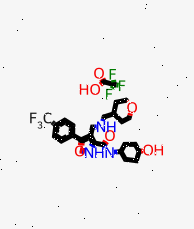 O=C(NC1CCC(O)CC1)c1noc(-c2ccc(C(F)(F)F)cc2)c1CNCC1CCOCC1.O=C(O)C(F)(F)F